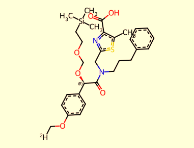 [2H]COc1ccc([C@@H](OCOCC[Si](C)(C)C)C(=O)N(CCCc2ccccc2)Cc2nc(C(=O)O)c(C)s2)cc1